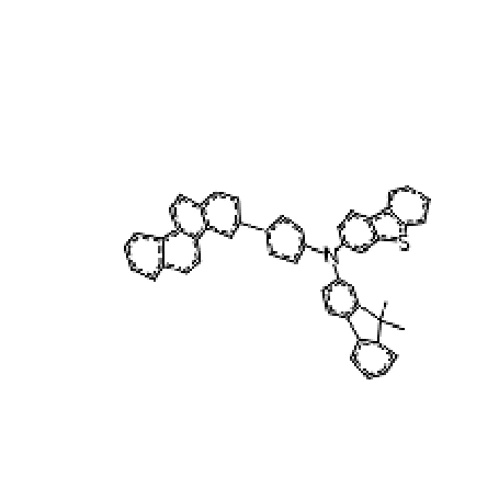 CC1(C)c2ccccc2-c2ccc(N(c3ccc(-c4ccc5ccc6c7ccccc7ccc6c5c4)cc3)c3ccc4c(c3)sc3ccccc34)cc21